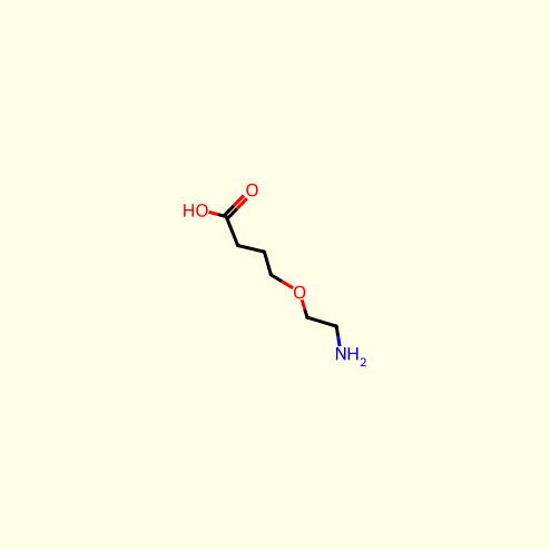 NCCOCCCC(=O)O